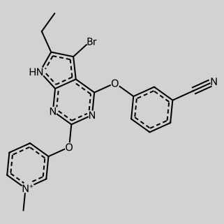 CCc1[nH]c2nc(Oc3ccc[n+](C)c3)nc(Oc3cccc(C#N)c3)c2c1Br